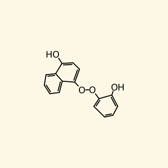 Oc1ccccc1OOc1ccc(O)c2ccccc12